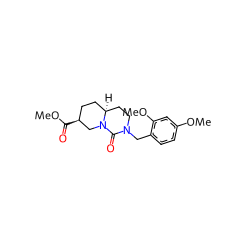 COC(=O)[C@H]1CC[C@H]2CCN(Cc3ccc(OC)cc3OC)C(=O)N2C1